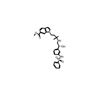 COC(=O)c1ccc2ccn(CCC(C)(C)NC[C@H](O)c3cccc(NS(=O)(=O)c4ccccc4)c3)c2c1